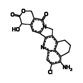 Nc1c(Cl)cc2nc3c(c4c2c1CCC4)Cn1c-3cc2c(c1=O)COC(=O)C2O